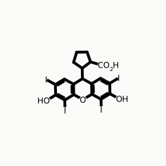 O=C(O)C1CCCC1C1c2cc(I)c(O)c(I)c2Oc2c1cc(I)c(O)c2I